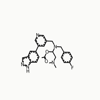 CC(=O)OC(CN(C)C)N(Cc1ccc(F)cc1)Cc1cncc(-c2ccc3[nH]ncc3c2)c1